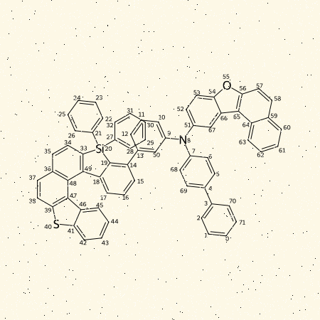 c1ccc(-c2ccc(N(c3cccc(-c4cccc5c4[Si](c4ccccc4)(c4ccccc4)c4ccc6ccc7sc8ccccc8c7c6c4-5)c3)c3ccc4oc5ccc6ccccc6c5c4c3)cc2)cc1